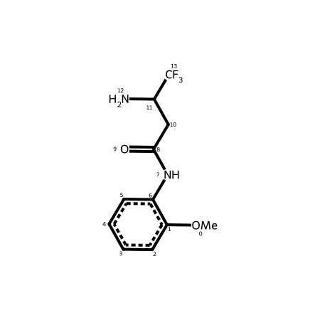 COc1ccccc1NC(=O)CC(N)C(F)(F)F